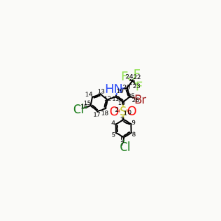 O=S(=O)(c1ccc(Cl)cc1)c1c(-c2ccc(Cl)cc2)[nH]c(C(F)(F)F)c1Br